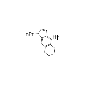 CCCC1C=Cc2cc3c(cc21)CCCC3.[Hf]